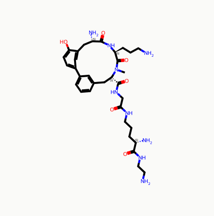 CN1C(=O)[C@H](CCCN)NC(=O)[C@@H](N)Cc2cc(ccc2O)-c2cccc(c2)C[C@H]1C(=O)NCC(=O)NCCC[C@H](N)C(=O)NCCN